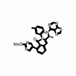 COc1ncc(-c2cccc3cc([C@H](C)Nc4ncnc5scnc45)n(-c4cccc(C)c4)c(=O)c23)cn1